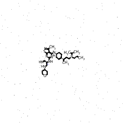 C=C(CCN(CCC)C(C)C)[C@H]1CC[C@H](Nc2nc(N/C(C=N)=C/NC3CCOCC3)nc3snc(C)c23)CC1